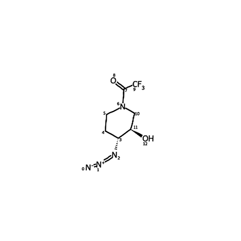 [N-]=[N+]=N[C@@H]1CCN(C(=O)C(F)(F)F)C[C@H]1O